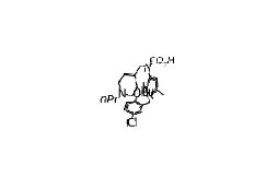 CCCN1CCC(CN(C(=O)O)c2cc(C)n(Cc3cc(Cl)ccc3OCC(C)C)n2)CC1